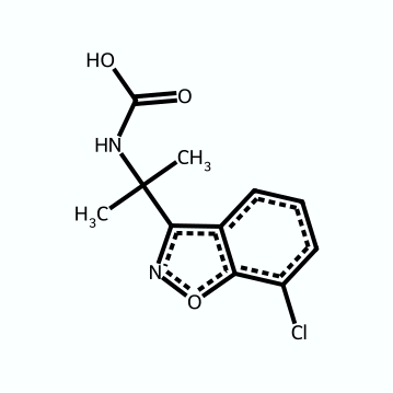 CC(C)(NC(=O)O)c1noc2c(Cl)cccc12